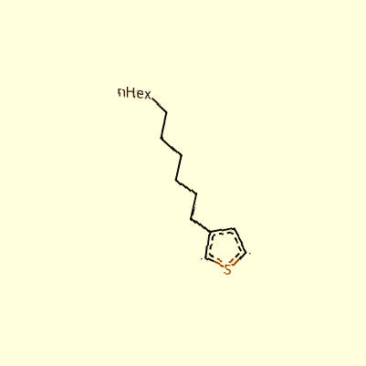 CCCCCCCCCCCCc1[c]s[c]c1